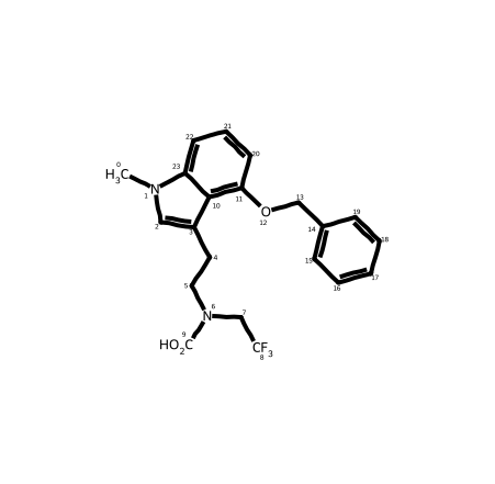 Cn1cc(CCN(CC(F)(F)F)C(=O)O)c2c(OCc3ccccc3)cccc21